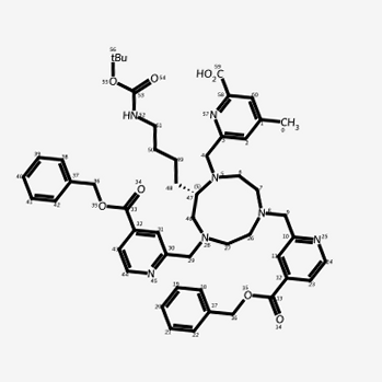 Cc1cc(CN2CCN(Cc3cc(C(=O)OCc4ccccc4)ccn3)CCN(Cc3cc(C(=O)OCc4ccccc4)ccn3)C[C@@H]2CCCCNC(=O)OC(C)(C)C)nc(C(=O)O)c1